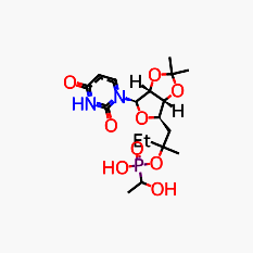 CCC(C)(C[C@H]1O[C@@H](n2ccc(=O)[nH]c2=O)[C@@H]2OC(C)(C)O[C@@H]21)OP(=O)(O)C(C)O